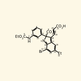 CCOC(=O)Nc1cccc(C2(C(=O)O)N=c3c(Br)cc(CC)cc3=C2C=CC(=O)O)c1